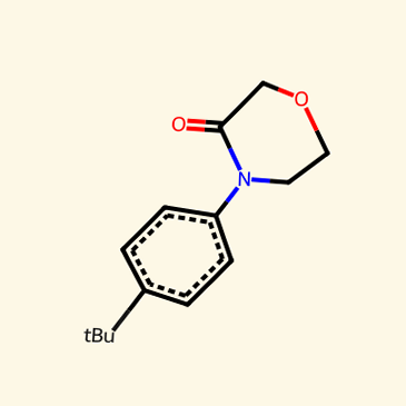 CC(C)(C)c1ccc(N2CCOCC2=O)cc1